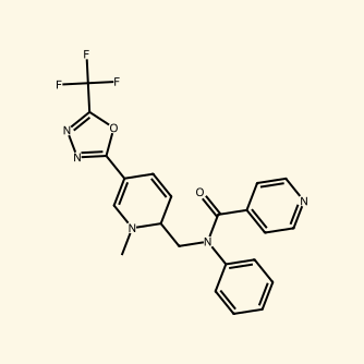 CN1C=C(c2nnc(C(F)(F)F)o2)C=CC1CN(C(=O)c1ccncc1)c1ccccc1